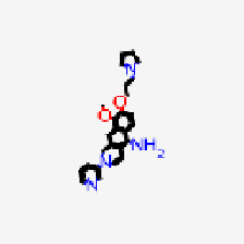 COc1c(OCCCN2CCCC2)ccc2c(N)c3c(cc12)CN(c1cccnc1)C=C3